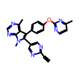 C#Cc1ncc(-c2c(-c3ccc(Oc4nccc(C)n4)cc3)c3c(C)ncnc3n2C)cn1